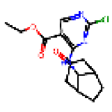 CCOC(=O)c1cnc(Cl)nc1NC1C2CCC1CC(=O)C2